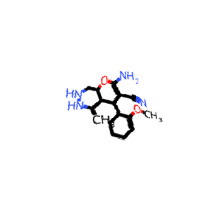 COC1=CCCCC1C1C(C#N)=C(N)OC2CNNC(C)C21